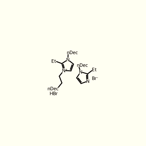 Br.CCCCCCCCCCCC[n+]1ccn(CCCCCCCCCC)c1CC.CCCCCCCCCCn1ccnc1CC.[Br-]